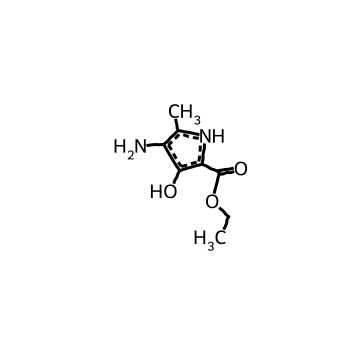 CCOC(=O)c1[nH]c(C)c(N)c1O